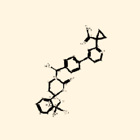 C[C@@H](c1ccc(-c2ccnc(C3(C(N)=O)CC3)c2)cc1)N1CC[C@](CC(C)(C)O)(c2ccccc2)OC1=O